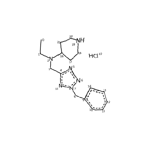 CCN(Cc1nnn(Cc2ccccc2)n1)C1CCNCC1.Cl